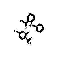 O=C(O)c1ccc(Cl)cc1I.O=C(O)c1ccccc1Nc1ccccc1